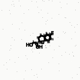 OCN(O)[C@@H]1CCc2cc(F)ccc2O1